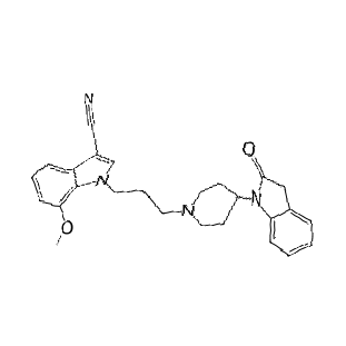 COc1cccc2c(C#N)cn(CCCN3CCC(N4C(=O)Cc5ccccc54)CC3)c12